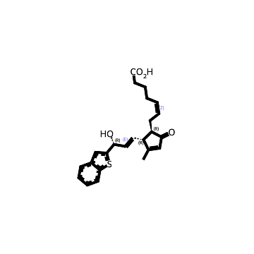 CC1=CC(=O)[C@H](C/C=C\CCCC(=O)O)[C@H]1/C=C/[C@@H](O)c1cc2ccccc2s1